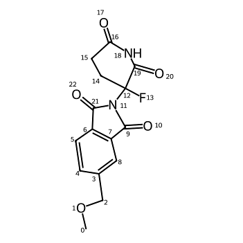 COCc1ccc2c(c1)C(=O)N(C1(F)CCC(=O)NC1=O)C2=O